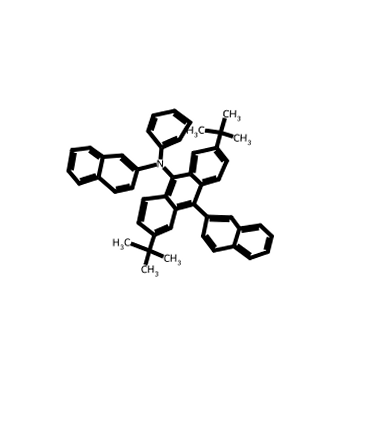 CC(C)(C)c1ccc2c(N(c3ccccc3)c3ccc4ccccc4c3)c3cc(C(C)(C)C)ccc3c(-c3ccc4ccccc4c3)c2c1